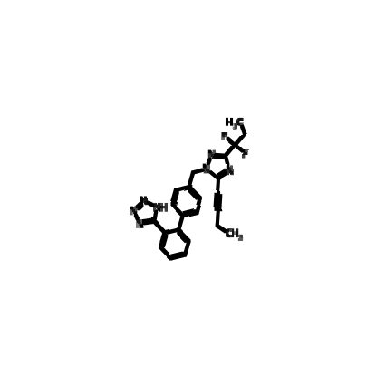 CCC#Cc1nc(C(F)(F)CC)nn1Cc1ccc(-c2ccccc2-c2nnn[nH]2)cc1